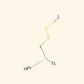 CCC[C@@H](CC)CSSI